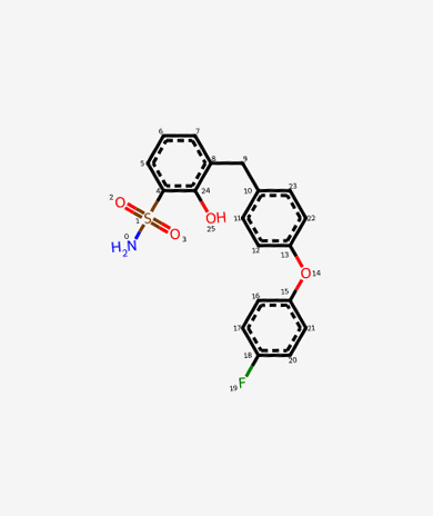 NS(=O)(=O)c1cccc(Cc2ccc(Oc3ccc(F)cc3)cc2)c1O